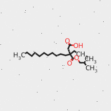 CCCCCCCCCCCC(CC)(CC(=O)O)C(=O)OCC(C)C